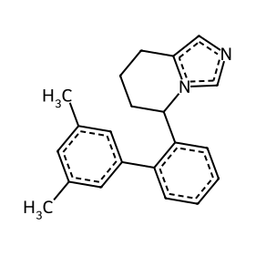 Cc1cc(C)cc(-c2ccccc2C2CCCc3cncn32)c1